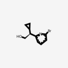 OC[C@H](c1cccc(Br)n1)C1CC1